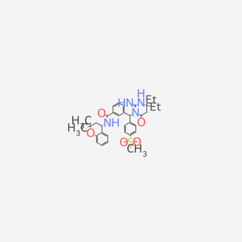 CCC1(CC)CC(=O)N(C(c2ccc(S(C)(=O)=O)cc2)c2cccc(C(=O)N[C@H]3CC(C)(C)Oc4ccccc43)c2)C(=N)N1